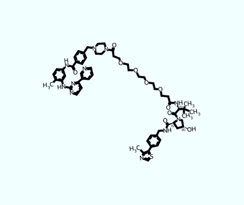 Cc1ccc(NC(=O)c2ccc(CN3CCN(C(=O)CCOCCOCCOCCOCCC(=O)N[C@H](C(=O)N4C[C@H](O)C[C@H]4C(=O)NCc4ccc(-c5scnc5C)cc4)C(C)(C)C)CC3)cc2)cc1Nc1nccc(-c2cccnc2)n1